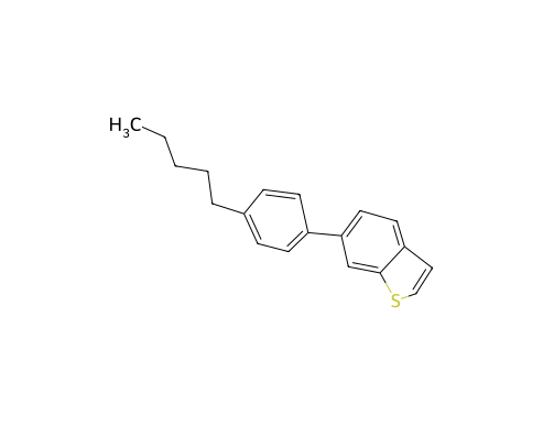 CCCCCc1ccc(-c2ccc3ccsc3c2)cc1